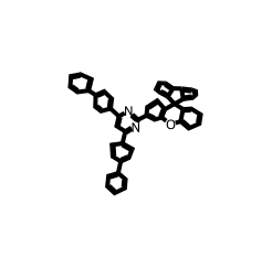 c1ccc(-c2ccc(-c3cc(-c4ccc(-c5ccccc5)cc4)nc(-c4ccc5c(c4)Oc4ccccc4C54c5ccccc5-c5ccccc54)n3)cc2)cc1